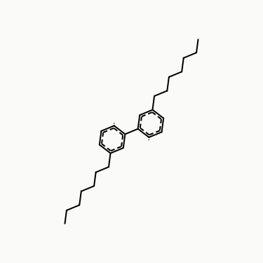 CCCCCCCc1cc[c]c(-c2[c]ccc(CCCCCCC)c2)c1